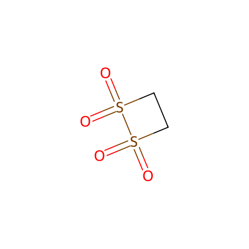 O=S1(=O)CCS1(=O)=O